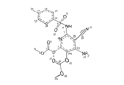 COC(=O)Oc1nc(NS(=O)(=O)c2ccc(C)cc2)c(C#N)c(N)c1OC(=O)OC